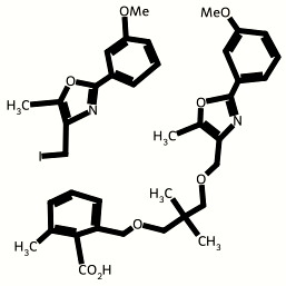 COc1cccc(-c2nc(CI)c(C)o2)c1.COc1cccc(-c2nc(COCC(C)(C)COCc3cccc(C)c3C(=O)O)c(C)o2)c1